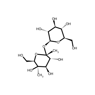 C[C@]1(O[C@@H]2O[C@H](CO)[C@@H](O)[C@H](O)[C@H]2O)O[C@H](CO)[C@](C)(O)[C@H](O)[C@H]1O